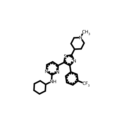 CN1CCC(c2nc(-c3cccc(C(F)(F)F)c3)c(-c3ccnc(NC4CCCCC4)n3)s2)CC1